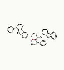 c1ccc(-c2ccccc2N(c2ccc(-c3ccc4oc5c(-c6ccccc6)cccc5c4c3)cc2)c2cccc3c2sc2ccccc23)cc1